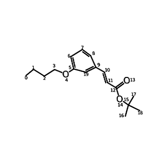 CCCCOc1cccc(C=CC(=O)OC(C)(C)C)c1